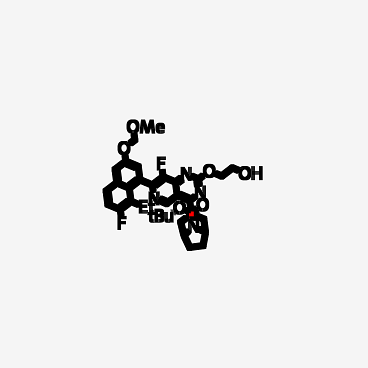 CCc1c(F)ccc2cc(OCOC)cc(-c3ncc4c(N5CC6CCC(C5)N6C(=O)OC(C)(C)C)nc(OCCO)nc4c3F)c12